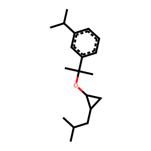 CC(C)CC1CC1OC(C)(C)c1cccc(C(C)C)c1